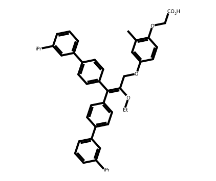 CCOC(COc1ccc(OCC(=O)O)c(C)c1)=C(c1ccc(-c2cccc(C(C)C)c2)cc1)c1ccc(-c2cccc(C(C)C)c2)cc1